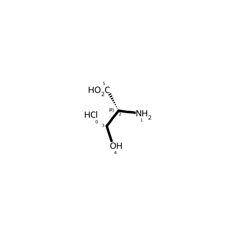 Cl.N[C@H](CO)C(=O)O